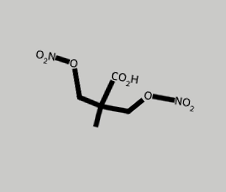 CC(CO[N+](=O)[O-])(CO[N+](=O)[O-])C(=O)O